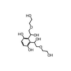 OCCOCC(O)c1c(O)ccc(O)c1C(O)COCCO